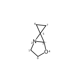 C1CN2[C](O1)C21CC1